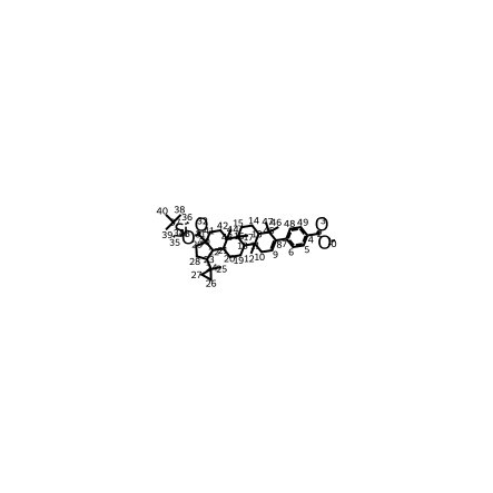 COC(=O)c1ccc(C2=CCC3(C)C(CCC4(C)C3CCC3C5C(C6(C)CC6)CCC5(C(=O)O[Si](C)(C)C(C)(C)C)CCC34C)C2(C)C)cc1